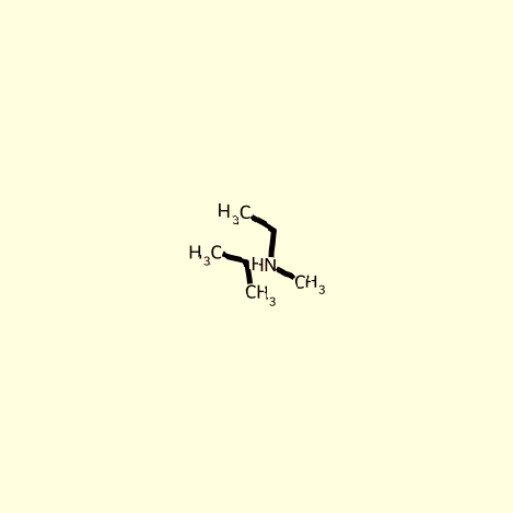 CCC.CCNC